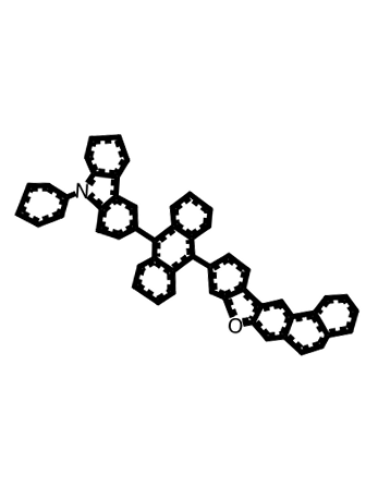 c1ccc(-n2c3ccccc3c3cc(-c4c5ccccc5c(-c5ccc6c(c5)oc5cc7ccc8ccccc8c7cc56)c5ccccc45)ccc32)cc1